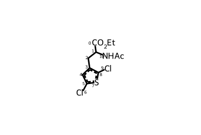 CCOC(=O)C(Cc1cc(Cl)sc1Cl)NC(C)=O